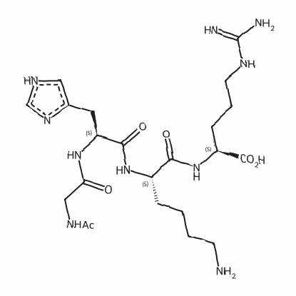 CC(=O)NCC(=O)N[C@@H](Cc1c[nH]cn1)C(=O)N[C@@H](CCCCN)C(=O)N[C@@H](CCCNC(=N)N)C(=O)O